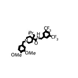 COc1ccc(CN2CCC(CC(C)C)(C(=O)NCc3cc(C(F)(F)F)cc(C(F)(F)F)c3)CC2)cc1OC